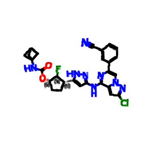 N#Cc1cccc(-c2cn3nc(Cl)cc3c(Nc3cc([C@@H]4CC[C@H](OC(=O)NC56CC(C5)C6)[C@H]4F)[nH]n3)n2)c1